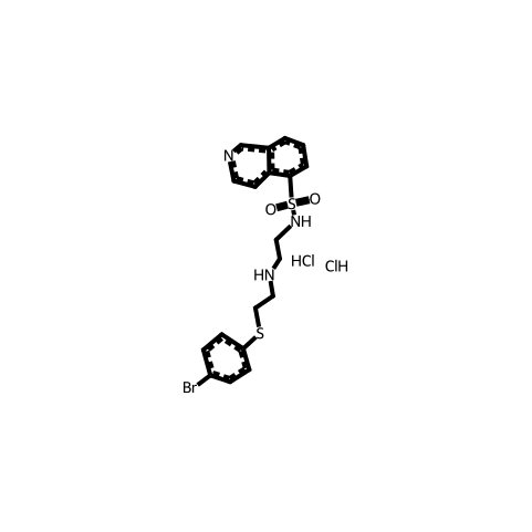 Cl.Cl.O=S(=O)(NCCNCCSc1ccc(Br)cc1)c1cccc2cnccc12